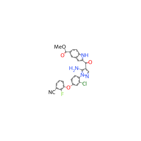 COC(=O)c1ccc2[nH]c(C(=O)c3cnn(-c4ccc(Oc5cccc(C#N)c5F)cc4Cl)c3N)cc2c1